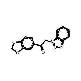 O=C(Cn1nnc2ccccc21)c1ccc2c(c1)OCO2